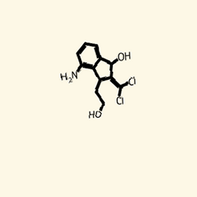 Nc1cccc2c1C(CCO)C(=C(Cl)Cl)C2O